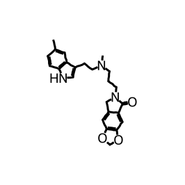 Cc1ccc2[nH]cc(CCN(C)CCCN3Cc4cc5c(cc4C3=O)OCO5)c2c1